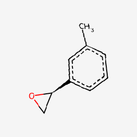 Cc1cccc([C@H]2CO2)c1